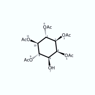 CC(=O)O[C@@H]1[C@@H](OC(C)=O)[C@@H](OC(C)=O)[C@@H](O)[C@H](OC(C)=O)[C@H]1OC(C)=O